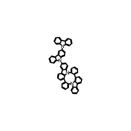 c1ccc2c(c1)c1ccccc1n2-c1ccc2c(c1)c1ccccc1n2-c1ccc2c(c1)c1cccc3c4ccccc4n4c5ccccc5c5cccc(c6ccccc6n2c31)c54